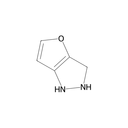 c1cc2c(o1)CNN2